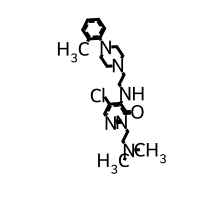 Cc1ccccc1N1CCN(CCNc2c(Cl)cnn(CCN(C)C)c2=O)CC1